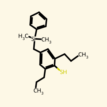 CCCc1cc(C[Si](C)(C)c2ccccc2)cc(CCC)c1S